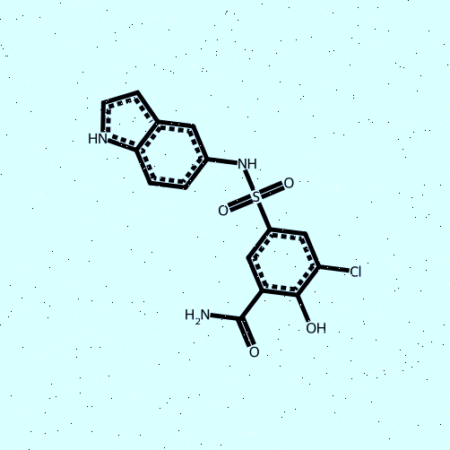 NC(=O)c1cc(S(=O)(=O)Nc2ccc3[nH]ccc3c2)cc(Cl)c1O